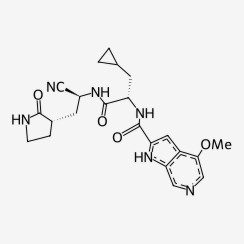 COc1cncc2[nH]c(C(=O)N[C@@H](CC3CC3)C(=O)N[C@H](C#N)C[C@@H]3CCNC3=O)cc12